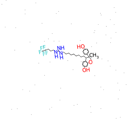 CC1(c2ccc(O)cc2)COc2cc(O)ccc2C1CCCCCCCCCNC(=N)NCCCC(F)(F)C(F)(F)F